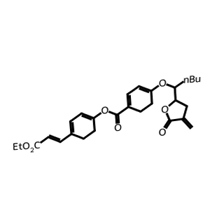 C=C1CC(C(CCCC)OC2=CC=C(C(=O)OC3=CC=C(/C=C/C(=O)OCC)CC3)CC2)OC1=O